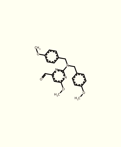 COc1ccc(CN(Cc2ccc(OC)cc2)c2nc(C=O)cc(OC)n2)cc1